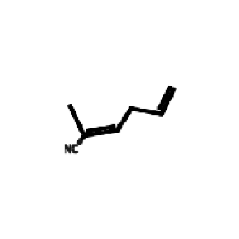 C=CC/C=C(\C)C#N